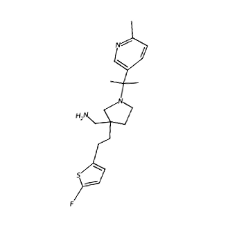 Cc1ccc(C(C)(C)N2CCC(CN)(CCc3ccc(F)s3)C2)cn1